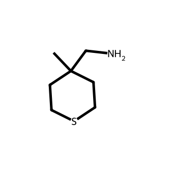 CC1(CN)CCSCC1